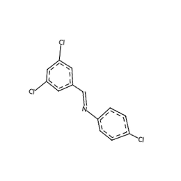 Clc1ccc(N=Cc2cc(Cl)cc(Cl)c2)cc1